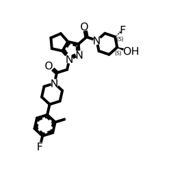 Cc1cc(F)ccc1C1CCN(C(=O)Cn2nc(C(=O)N3CC[C@H](O)[C@@H](F)C3)c3c2CCC3)CC1